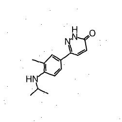 Cc1cc(-c2ccc(=O)[nH]n2)ccc1NC(C)C